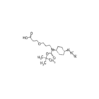 CC(C)(C)OC(=O)N(CCCOCCC(=O)O)[C@H]1CC[C@@H](N=[N+]=[N-])CC1